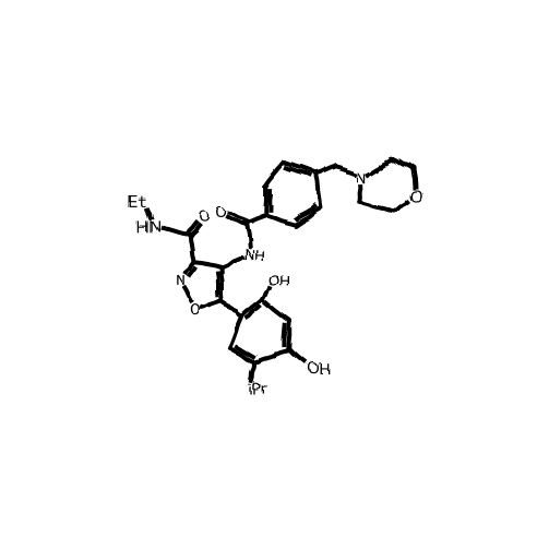 CCNC(=O)c1noc(-c2cc(C(C)C)c(O)cc2O)c1NC(=O)c1ccc(CN2CCOCC2)cc1